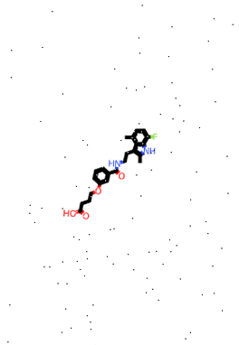 Cc1[nH]c2c(F)ccc(C)c2c1CCNC(=O)c1cccc(OCCCC(=O)O)c1